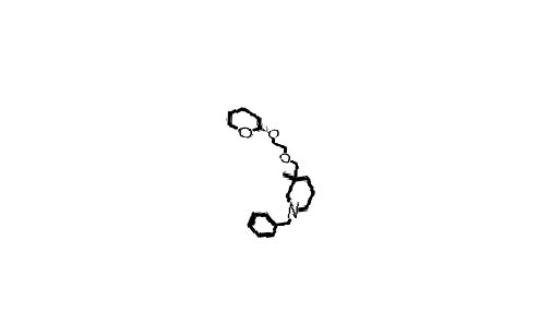 CC1(COCCO[C@H]2CCCCO2)CCCN(Cc2ccccc2)C1